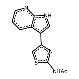 CC(=O)Nc1nc(-c2c[nH]c3ncccc23)cs1